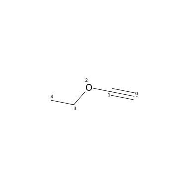 [C]#COCC